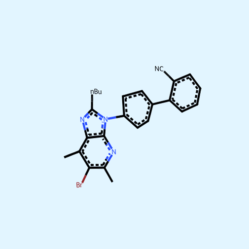 CCCCc1nc2c(C)c(Br)c(C)nc2n1-c1ccc(-c2ccccc2C#N)cc1